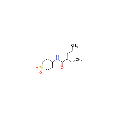 CCCC(CC)C(=O)NC1CCS(=O)(=O)CC1